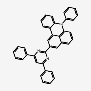 c1ccc(-c2cc(-c3ccccc3)nc(-c3cc4c5c(cccc5c3)N(c3ccccc3)c3ccccc3-4)n2)cc1